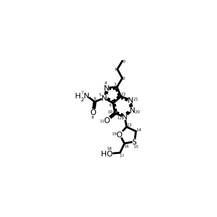 CCCc1nn(C(N)=O)c2c(=O)n(C3CSC(CO)O3)nnc12